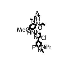 C=CC(=O)Nc1cc(Nc2ncc(Cl)c(-c3cc(F)c4nc(C)n(C(C)C)c4c3)n2)c(OC)cc1N(C)CCN(C)C